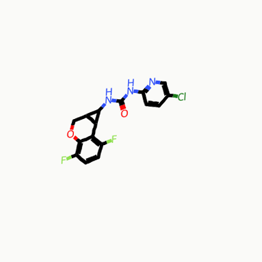 O=C(Nc1ccc(Cl)cn1)NC1C2COc3c(F)ccc(F)c3C21